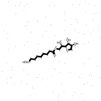 CCCCCCCCCCCCCCCCCC(=O)OC[C@@H](O)[C@H]1OC[C@H](O)[C@H]1O